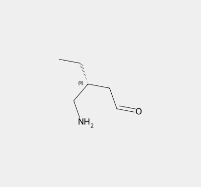 CC[C@@H](CN)CC=O